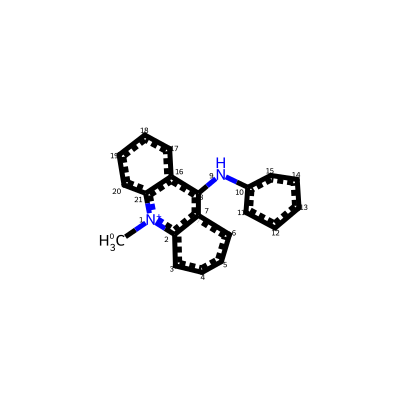 C[n+]1c2ccccc2c(Nc2ccccc2)c2ccccc21